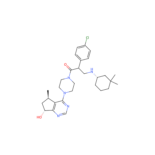 C[C@@H]1C[C@@H](O)c2ncnc(N3CCN(C(=O)C(CN[C@H]4CCCC(C)(C)C4)c4ccc(Cl)cc4)CC3)c21